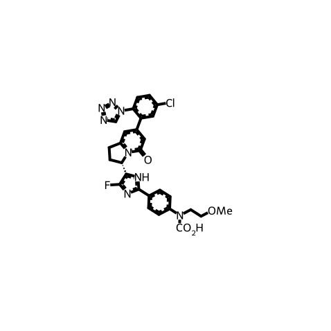 COCCN(C(=O)O)c1ccc(-c2nc(F)c([C@@H]3CCc4cc(-c5cc(Cl)ccc5-n5cnnn5)cc(=O)n43)[nH]2)cc1